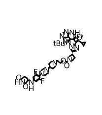 CC(C)(C)n1nc(-c2noc(C3CC3)c2-c2ncc([C@H]3CCN(C(=O)OCCN4CCC(N5CCN(c6c(F)cc(NC7CCC(=O)NC7=O)cc6F)CC5)CC4)C3)cn2)c2c(N)ncnc21